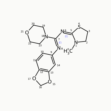 CN1CCS/C1=N/C(=N/c1ccc2c(c1)OCO2)N1CCOCC1